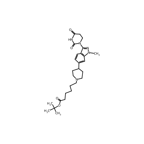 Cn1nc(N2CCC(=O)NC2=O)c2ccc(C3CCN(CCCCCC(=O)OC(C)(C)C)CC3)cc21